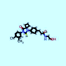 [C-]#[N+]c1ccc(N2C(=O)C3(CCC3)N(c3ccc(CCC(=O)NCCO)cc3)C2=S)cc1C